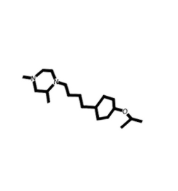 CC(C)OC1CCC(CCCCN2CCN(C)CC2C)CC1